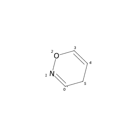 [C]1=NOC=CC1